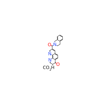 O=C(O)C1C=Nc2c(ccc3cc(C(=O)N4CCc5ccccc5C4)cnc23)C1=O